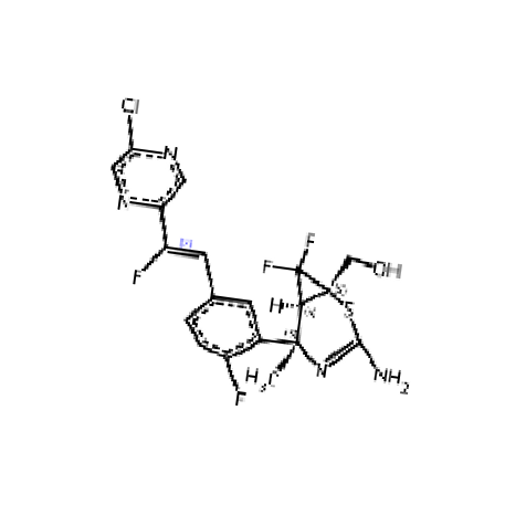 C[C@]1(c2cc(/C=C(\F)c3cnc(Cl)cn3)ccc2F)N=C(N)S[C@]2(CO)[C@@H]1C2(F)F